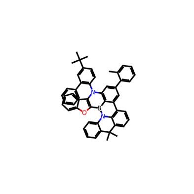 Cc1ccccc1-c1cc2c3c(c1)N(c1ccc(C(C)(C)C)cc1-c1ccccc1)c1c(oc4ccccc14)B3N1c3ccccc3C(C)(C)c3cccc-2c31